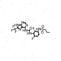 CCCS(=O)(=O)Nc1ccc(F)c(NC(=O)Nc2ncnc3[nH]c(C(F)(F)F)nc23)c1F